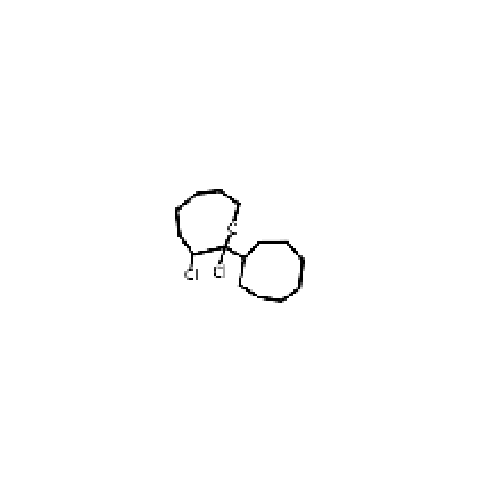 ClC1CCCCCCC1(Cl)C1CCCCCCC1